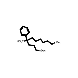 CCCCCCCCCCCCCCCCC(CCCCCCCCCCCCC)(C(=O)O)c1ccccc1